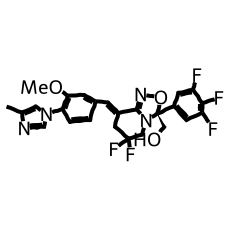 COc1cc(/C=C2\CC(F)(F)CN3C2=NO[C@]3(CO)c2cc(F)c(F)c(F)c2)ccc1-n1cnc(C)c1